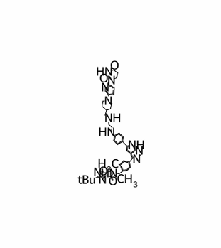 Cc1cc(-c2ncnc3[nH]c(-c4ccc(NCCNCC5CCN(c6ccc(N7CCC(=O)NC7=O)nc6)CC5)cc4)cc23)ccc1[C@@H](C)NC(=O)c1nc(C(C)(C)C)no1